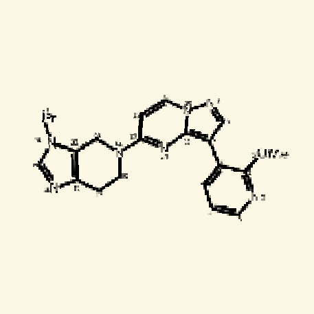 COc1ncccc1-c1cnn2ccc(N3CCc4ncn(C(C)C)c4C3)nc12